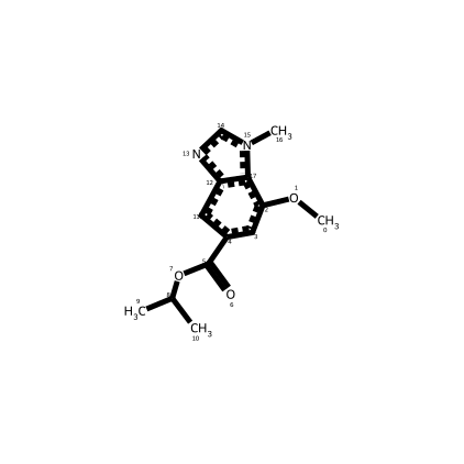 COc1cc(C(=O)OC(C)C)cc2ncn(C)c12